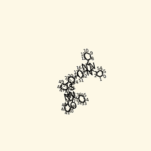 c1ccc(-c2nc(-c3ccccc3)nc(-c3ccc(-c4ccc5c(c4)sc4c(-c6nc(-c7ccccc7)c7oc8ccccc8c7n6)cccc45)cc3)n2)cc1